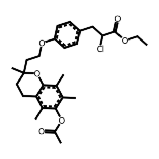 CCOC(=O)C(Cl)Cc1ccc(OCCC2(C)CCc3c(C)c(OC(C)=O)c(C)c(C)c3O2)cc1